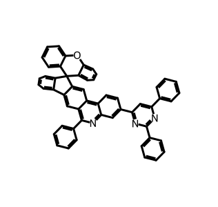 c1ccc(-c2cc(-c3ccc4c(c3)nc(-c3ccccc3)c3cc5c(cc34)C3(c4ccccc4Oc4ccccc43)c3ccccc3-5)nc(-c3ccccc3)n2)cc1